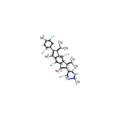 N#CC(C#N)=C1C(c2cc(F)c(C#N)cc2F)=C(C#N)c2c(F)c3c(c(F)c21)C(=C(C#N)C#N)C(c1cnc(C#N)nc1F)=C3C#N